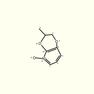 CC1COc2ccc[n+]([O-])c2O1